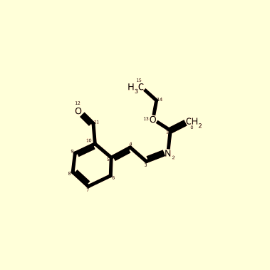 C=C(/N=C\C=C1/CC=CC=C1C=O)OCC